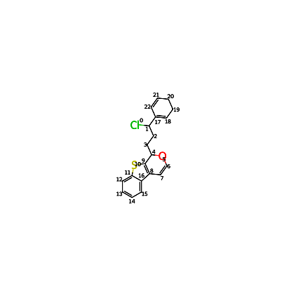 ClC(CCC1OC=Cc2c1sc1ccccc21)C1=CCCC=C1